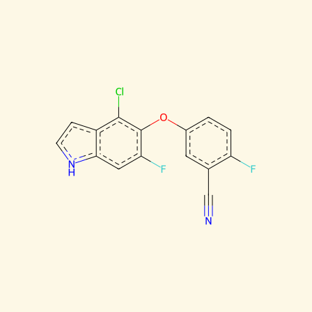 N#Cc1cc(Oc2c(F)cc3[nH]ccc3c2Cl)ccc1F